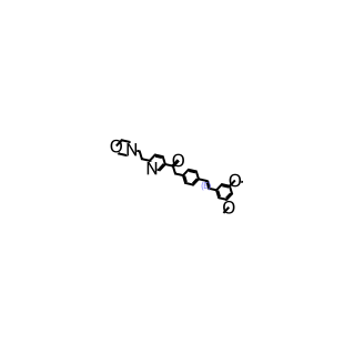 COc1cc(/C=C/c2ccc(CC(=O)c3ccc(CCN4CCOCC4)nc3)cc2)cc(OC)c1